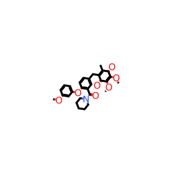 COC1=C(OC)C(=O)C(Cc2ccc(Oc3cccc(OC)c3)c(C(=O)N3CCCCC3)c2)=C(C)C1=O